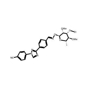 CCO[C@@H]1[C@@H](OC)[C@H](C)O[C@@H](O/N=C/c2ccc(-c3ncn(-c4ccc(C#N)cc4)n3)cc2)[C@@H]1OC